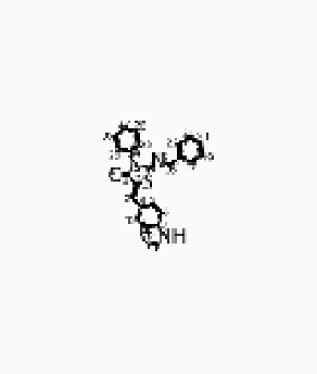 O=C1C(=Cc2ccc3[nH]cnc3c2)SC(=NCc2ccccc2)N1c1ccccc1